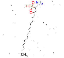 CCCCCCCCCCCCCCCC(=O)CC(CN)S(=O)(=O)O